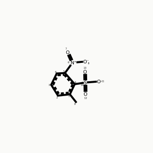 Cc1cccc([N+](=O)[O-])c1S([O])(=O)=O